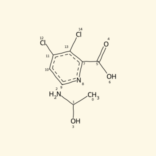 CC(N)O.O=C(O)c1nccc(Cl)c1Cl